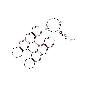 C1=C\CC/C=C\CC/1.[Cl-].[Cl-].[Cl-].[Rh+3].c1ccc(P(c2ccccc2)c2ccc3c(c2-c2c(P(c4ccccc4)c4ccccc4)ccc4c2CCCC4)CCCC3)cc1